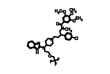 COc1cc(C(=O)N(C)CC(CCN2CCC(N(CCOCC(F)(F)F)c3nc4ccccc4[nH]3)CC2)c2ccc(Cl)cc2)cc(OC)c1OC